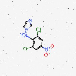 O=[N+]([O-])c1cc(Cl)c(Nn2ccnc2)c(Cl)c1